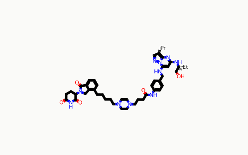 CC[C@H](CO)Nc1cc(NCc2ccc(NC(=O)CCCN3CCN(CCCCCc4cccc5c4CN(C4CCC(=O)NC4=O)C5=O)CC3)cc2)n2ncc(C(C)C)c2n1